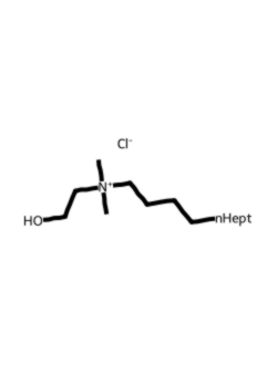 CCCCCCCCCCC[N+](C)(C)CCO.[Cl-]